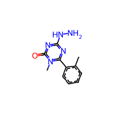 Cc1ccccc1-c1nc(NN)nc(=O)n1C